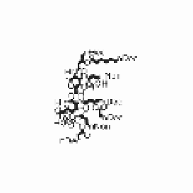 CCCCCCCCCCCCCCCC(=O)OC(CCCCCCCCCCC)CC(=O)NC1[C@@H](OC(=O)CC(O)CCCCCCCCC)[C@H](O)C(CO[C@@H]2OC(CO)[C@@H](OP(=O)(O)O)[C@H](OC(=O)CC(CCCCCCCCC)OC(=O)CCCCCCCCCCC)C2NC(=O)CC(CCCCCCCCCCC)OC(=O)CCCCCCCCCCC)O[C@@H]1C